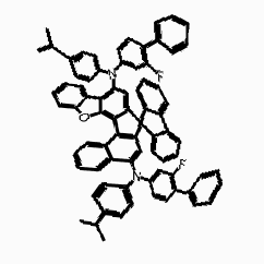 CC(C)c1ccc(N(c2ccc(-c3ccccc3)c(F)c2)c2cc3c(c4ccccc24)-c2c(cc(N(c4ccc(C(C)C)cc4)c4ccc(-c5ccccc5)c(F)c4)c4c2oc2ccccc24)C32c3ccccc3-c3ccccc32)cc1